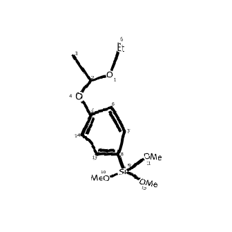 CCOC(C)Oc1ccc([Si](OC)(OC)OC)cc1